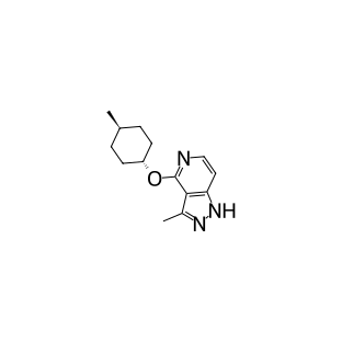 Cc1n[nH]c2ccnc(O[C@H]3CC[C@H](C)CC3)c12